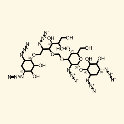 [N-]=[N+]=NC(CO[C@H]1C(N=[N+]=[N-])C[C@H](N=[N+]=[N-])C(O)C1O)C(OCOC1C(N=[N+]=[N-])[C@@H](O[C@@H]2C(N=[N+]=[N-])C[C@@H](N=[N+]=[N-])C(O)C2O)OC(CO)[C@H]1O)[C@@H](O)C(O)CO